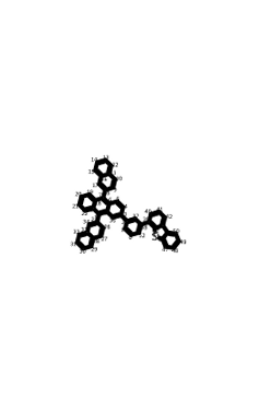 c1cc(-c2ccc3c(-c4ccc5ccccc5c4)c4ccccc4c(-c4ccc5ccccc5c4)c3c2)cc(-c2cccc3c2sc2ccccc23)c1